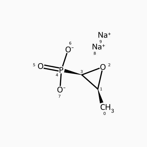 C[C@@H]1O[C@@H]1P(=O)([O-])[O-].[Na+].[Na+]